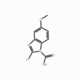 COc1ccc2c(c1)nc(Cl)n2C(=O)O